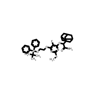 CSc1nc(OCCO[Si](c2ccccc2)(c2ccccc2)C(C)(C)C)c(F)c(OC(C(N)=O)C23CC4CC(CC(C4)C2)C3)n1